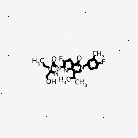 CCn1c(CO)nn(-c2nc3c(C(C)C)cn(-c4ccc(F)c(C)c4)c(=O)c3cc2F)c1=O